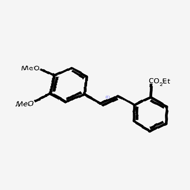 CCOC(=O)c1ccccc1/C=C/c1ccc(OC)c(OC)c1